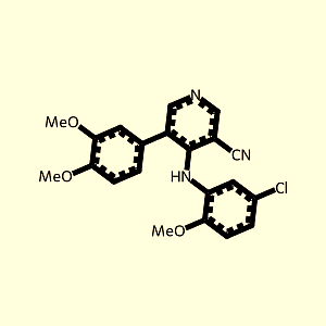 COc1ccc(Cl)cc1Nc1c(C#N)cncc1-c1ccc(OC)c(OC)c1